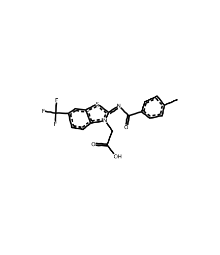 Cc1ccc(C(=O)N=c2sc3cc(C(F)(F)F)ccc3n2CC(=O)O)cc1